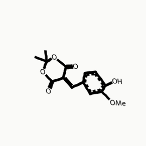 COc1cc(C=C2C(=O)OC(C)(C)OC2=O)ccc1O